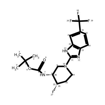 CC(C)(C)OC(=O)N[C@@H]1CN(c2nc3ccc(C(F)(F)F)cc3[nH]2)CC[C@@H]1F